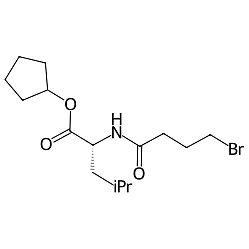 CC(C)C[C@@H](NC(=O)CCCBr)C(=O)OC1CCCC1